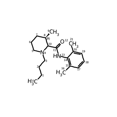 CCCCN1CCC[C@@H](C)C1C(=O)Nc1c(C)cccc1C